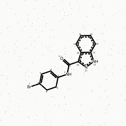 O=C(NC1=CC=C(Br)CC1)c1n[nH]c2ccccc12